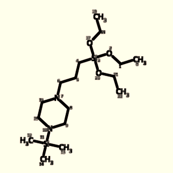 CCO[Si](CCCN1CCN([Si](C)(C)C)CC1)(OCC)OCC